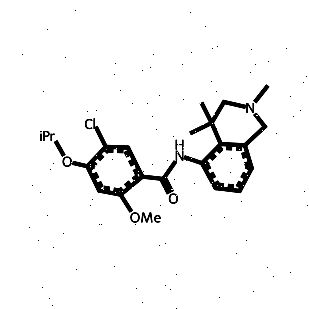 COc1cc(OC(C)C)c(Cl)cc1C(=O)Nc1cccc2c1C(C)(C)CN(C)C2